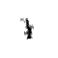 CCCOCCOCCNC(=O)c1cc2cc(N3CCC(O)(C(=O)NCCc4cc(F)cc(F)c4)C3=O)ccc2[nH]1